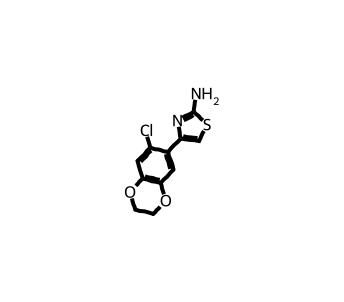 Nc1nc(-c2cc3c(cc2Cl)OCCO3)cs1